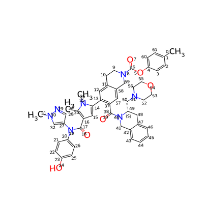 Cc1ccc(OC(=O)N2CCc3cc(-c4cc(C(=O)N(c5ccc(O)cc5)c5cnn(C)c5)c(C)n4C)c(C(=O)N4Cc5ccccc5C[C@H]4CN4CCOCC4)cc3C2)cc1